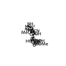 CO[C@@]1(c2cnc3c(N)ncnn23)O[C@H](COP(=O)(O)OP(=O)(O)OP(=O)(O)OC)[C@@H](O)[C@@]1(C)C#N